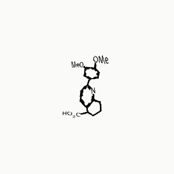 COc1ccc(-c2ccc3c(n2)CCCC3C(=O)O)cc1OC